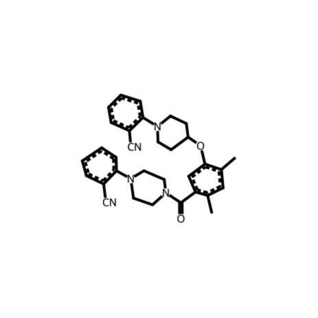 Cc1cc(C)c(C(=O)N2CCN(c3ccccc3C#N)CC2)cc1OC1CCN(c2ccccc2C#N)CC1